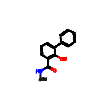 CCCCNC(=O)c1cccc(-c2ccccc2)c1O